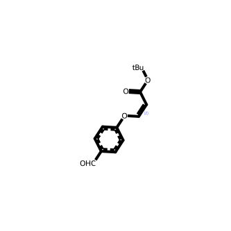 CC(C)(C)OC(=O)/C=C\Oc1ccc(C=O)cc1